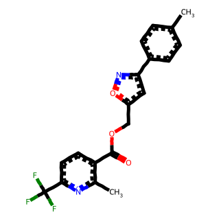 Cc1ccc(-c2cc(COC(=O)c3ccc(C(F)(F)F)nc3C)on2)cc1